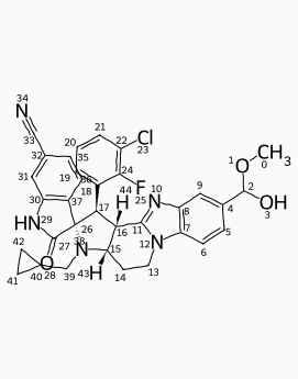 COC(O)c1ccc2c(c1)nc1n2CC[C@H]2[C@@H]1[C@H](c1cccc(Cl)c1F)[C@]1(C(=O)Nc3cc(C#N)ccc31)N2CC1CC1